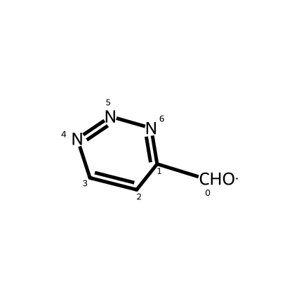 O=[C]c1ccnnn1